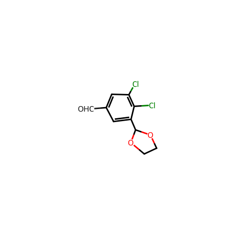 O=Cc1cc(Cl)c(Cl)c(C2OCCO2)c1